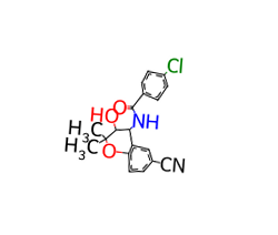 CC1(C)Oc2ccc(C#N)cc2C(NC(=O)c2ccc(Cl)cc2)C1O